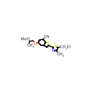 CCOC(=O)c1sc(-c2cc3cc(OCC(C)OC)cc(C#N)c3s2)nc1C